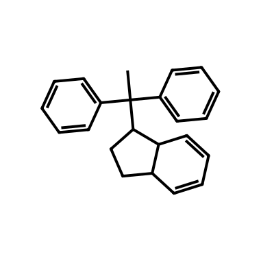 CC(c1ccccc1)(c1ccccc1)C1CCC2C=CC=CC21